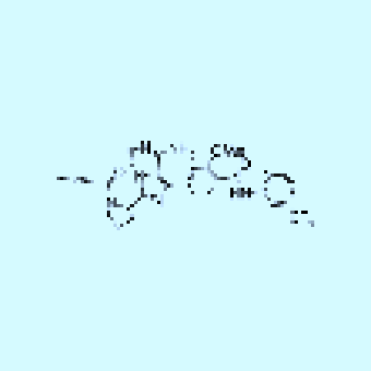 CC#CC(=O)N1CCCC1c1nc(-c2ccc(C(=O)Nc3cc(C(F)(F)F)ccn3)c(OC)c2)c2c(N)nccn12